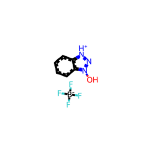 F[B-](F)(F)F.On1n[nH+]c2ccccc21